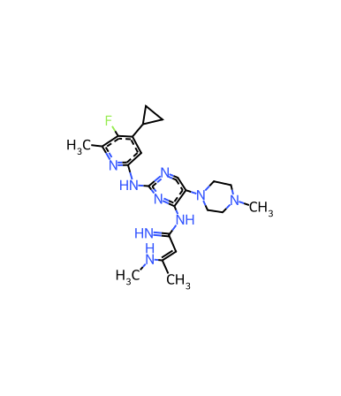 CN/C(C)=C\C(=N)Nc1nc(Nc2cc(C3CC3)c(F)c(C)n2)ncc1N1CCN(C)CC1